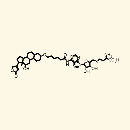 CC12C(O)CC3C4CC[C@@H](OCCCCCC(=O)Nc5ncnc6c5ncn6C5OC(CSCCC(N)C(=O)O)[C@@H](O)[C@H]5O)CC4CCC3C1CCC2C1=CC(=O)OC1